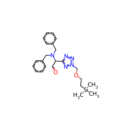 C[Si](C)(C)CCOCn1nnc(C(C=O)N(Cc2ccccc2)Cc2ccccc2)n1